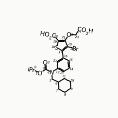 CC(C)OC(=O)N(CC1CCCCC1)c1cccc(-c2sc(C(=O)O)c(OCC(=O)O)c2Br)c1